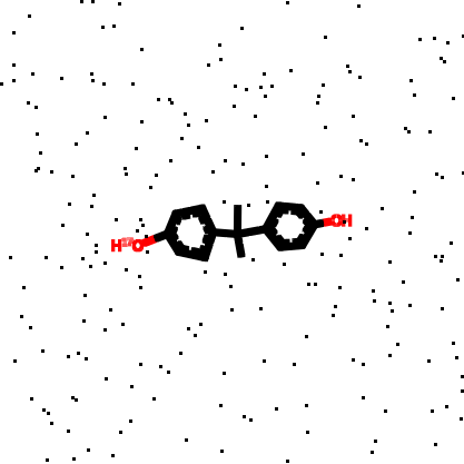 CC(C)(c1ccc(O)cc1)c1ccc([17OH])cc1